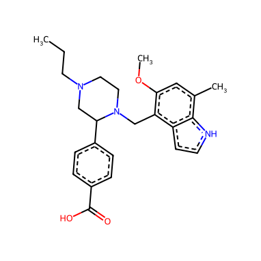 CCCN1CCN(Cc2c(OC)cc(C)c3[nH]ccc23)C(c2ccc(C(=O)O)cc2)C1